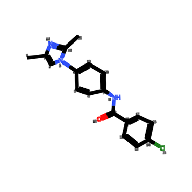 Cc1cn(-c2ccc(NC(=O)c3ccc(Cl)cc3)cc2)c(C)n1